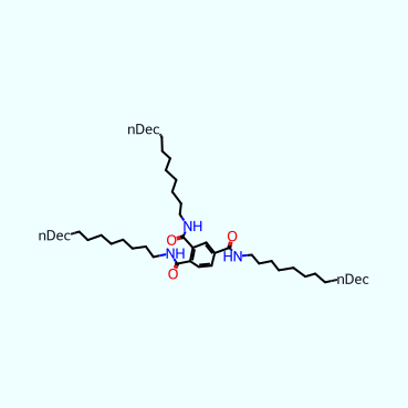 CCCCCCCCCCCCCCCCCCNC(=O)c1ccc(C(=O)NCCCCCCCCCCCCCCCCCC)c(C(=O)NCCCCCCCCCCCCCCCCCC)c1